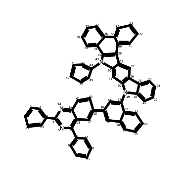 c1ccc(-c2nc(-c3ccccc3)c3cc(-c4cc(-n5c6ccccc6c6cc7c8c9ccccc9c9ccccc9c8n(-c8ccccc8)c7cc65)c5ccccc5c4)ccc3n2)cc1